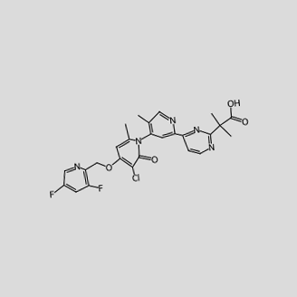 Cc1cnc(-c2ccnc(C(C)(C)C(=O)O)n2)cc1-n1c(C)cc(OCc2ncc(F)cc2F)c(Cl)c1=O